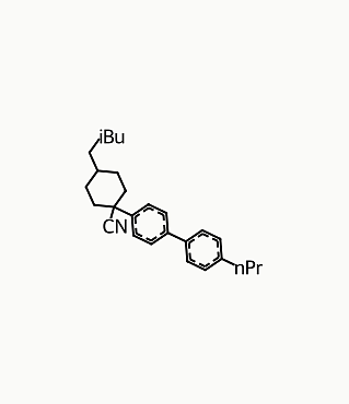 CCCc1ccc(-c2ccc(C3(C#N)CCC(CC(C)CC)CC3)cc2)cc1